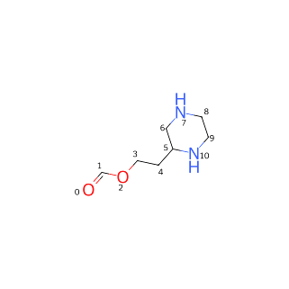 O=COCCC1CNCCN1